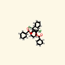 O=C(OC1C(OC(=O)c2ccccc2)[C@]2(F)c3ccccc3[C@@]1(F)c1ccccc12)c1ccccc1